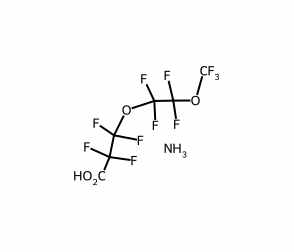 N.O=C(O)C(F)(F)C(F)(F)OC(F)(F)C(F)(F)OC(F)(F)F